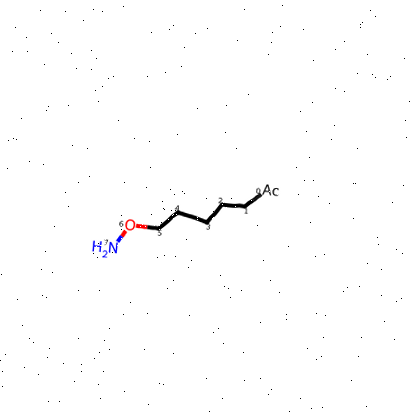 CC(=O)CCCCCON